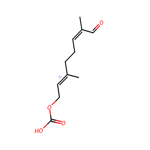 CC(C=O)=CCC/C(C)=C/COC(=O)O